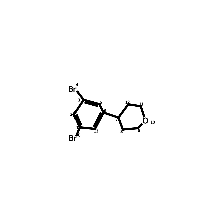 Brc1cc(Br)cc(C2CCOCC2)c1